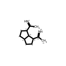 CC(=N)C1CCC2CCC(C(C)=N)C21